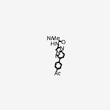 CNC(=O)Nc1cn2nc(-c3ccc(C(C)=O)cc3)ccc2n1